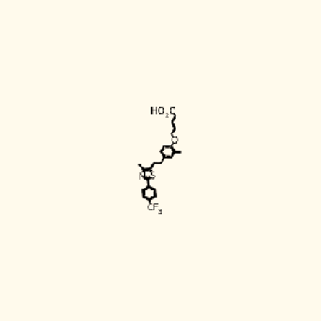 Cc1cc(CCc2sc(-c3ccc(C(F)(F)F)cc3)nc2C)ccc1OCCCCC(=O)O